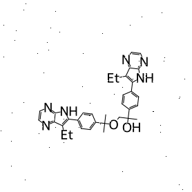 CCc1c(-c2ccc(C(C)(O)COC(C)(C)c3ccc(-c4[nH]c5nccnc5c4CC)cc3)cc2)[nH]c2nccnc12